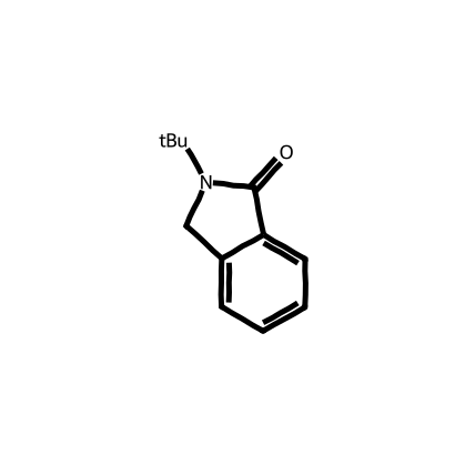 CC(C)(C)N1Cc2ccccc2C1=O